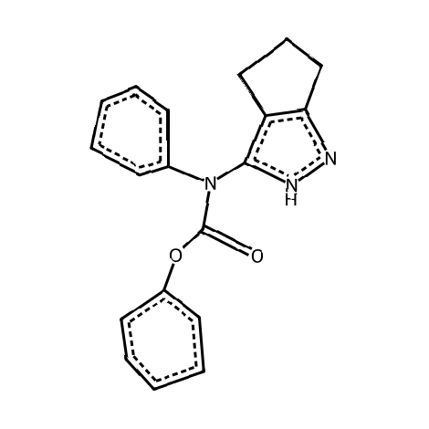 O=C(Oc1ccccc1)N(c1ccccc1)c1[nH]nc2c1CCC2